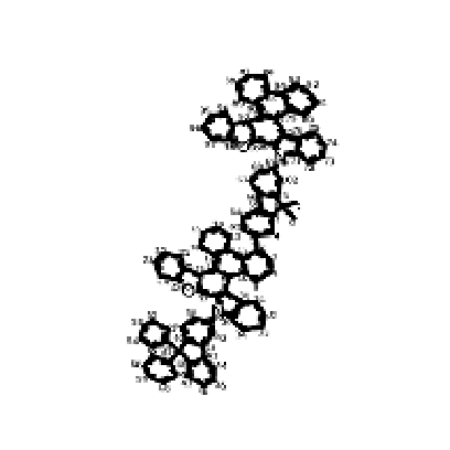 CC1(C)c2cc(-c3cccc4c3c3ccccc3c3c5c6ccccc6oc5c5c(c6ccccc6n5-c5ccc6c(c5)-c5ccccc5C6(c5ccccc5)c5ccccc5)c43)ccc2-c2ccc(-n3c4ccccc4c4c5c6ccccc6c6ccccc6c5c5c6ccccc6oc5c43)cc21